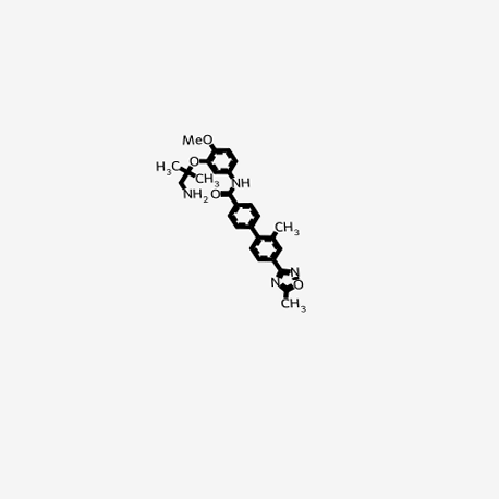 COc1ccc(NC(=O)c2ccc(-c3ccc(-c4noc(C)n4)cc3C)cc2)cc1OC(C)(C)CN